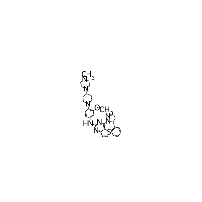 COc1cc(Nc2nc(N3N=CCC3c3ccccc3)c3sccc3n2)ccc1N1CCC(N2CCN(C)CC2)CC1